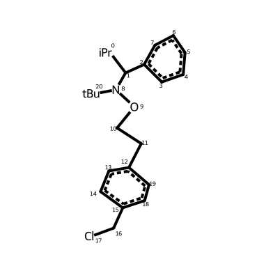 CC(C)C(c1ccccc1)N(OCCc1ccc(CCl)cc1)C(C)(C)C